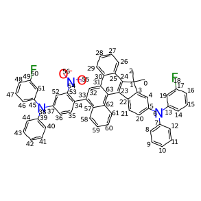 CC1(C)c2cc(N(c3ccccc3)c3cccc(F)c3)ccc2-c2c1c1ccccc1c1cc(-c3ccc(N(c4ccccc4)c4cccc(F)c4)cc3[N+](=O)[O-])c3ccccc3c21